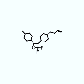 C=CCC[C@H]1CC[C@H]([C@H]2[C@H](C3CCC(C)CC3)OC2(F)F)CC1